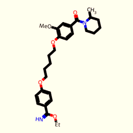 CCOC(=N)c1ccc(OCCCCCOc2ccc(C(=O)N3CCCCC3C)cc2OC)cc1